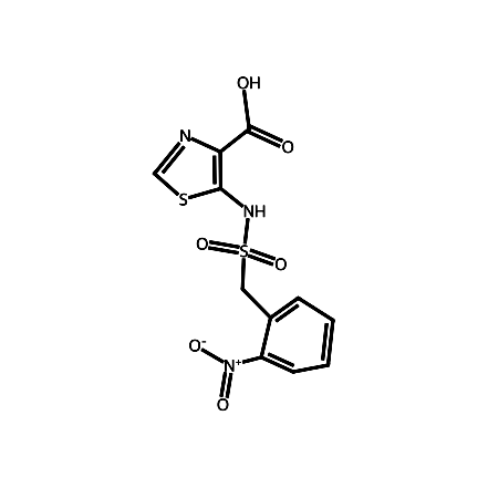 O=C(O)c1ncsc1NS(=O)(=O)Cc1ccccc1[N+](=O)[O-]